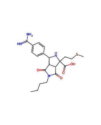 CCCCN1C(=O)C2C(c3ccc(C(=N)N)cc3)NC(CCSC)(C(=O)O)C2C1=O